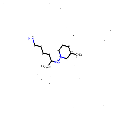 NCCCCC(NN1CC[CH][C](C=O)C1)C(=O)O